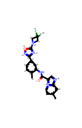 Cc1ccn2c(C(=O)Nc3cc(-c4noc(N5CC(F)(F)C5)n4)ccc3C)cnc2c1